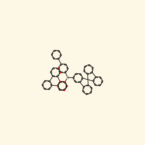 c1ccc(-c2ccc(N(c3ccc4c(c3)-c3ccccc3C43c4ccccc4-c4ccccc43)c3ccccc3-c3ccccc3-c3ccccc3-c3ccccc3)cc2)cc1